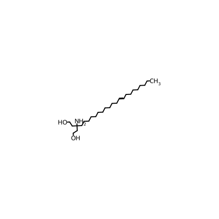 CCCCCCCC/C=C/CCCCCCCCCCCC(N)(CCO)CCO